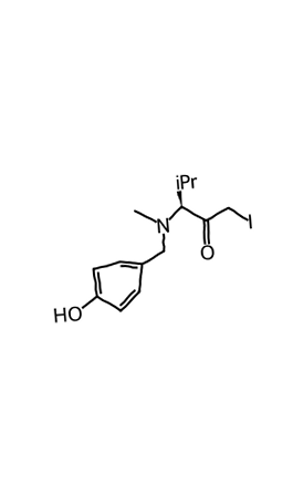 CC(C)[C@@H](C(=O)CI)N(C)Cc1ccc(O)cc1